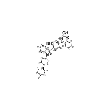 CN1CCN(C2CCC(n3nc(-c4ccc(C(NC(=O)O)c5ccccc5)cc4)c4c(N)ncnc43)CC2)CC1